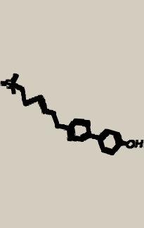 C[Si](C)(C)CCCCCCc1ccc(-c2ccc(O)cc2)cc1